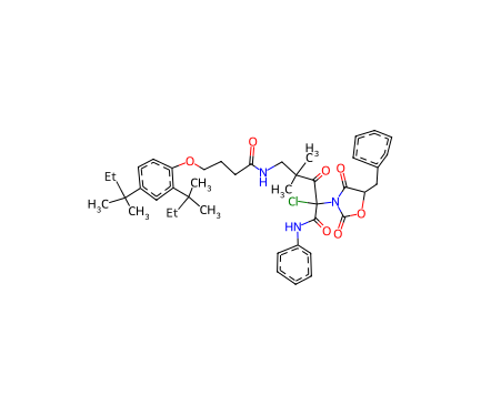 CCC(C)(C)c1ccc(OCCCC(=O)NCC(C)(C)C(=O)C(Cl)(C(=O)Nc2ccccc2)N2C(=O)OC(Cc3ccccc3)C2=O)c(C(C)(C)CC)c1